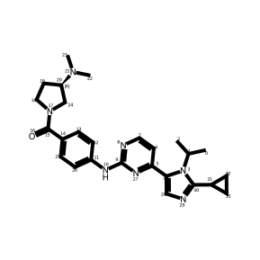 CC(C)n1c(-c2ccnc(Nc3ccc(C(=O)N4CC[C@@H](N(C)C)C4)cc3)n2)cnc1C1CC1